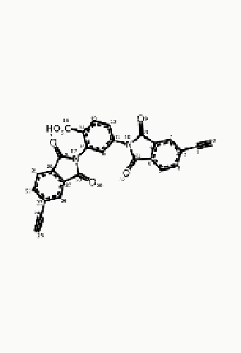 C#Cc1ccc2c(c1)C(=O)N(c1ccc(C(=O)O)c(N3C(=O)c4ccc(C#C)cc4C3=O)c1)C2=O